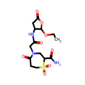 CCOC1OC(=O)CC1NC(=O)CN1CC(C(N)=O)S(=O)(=O)C[CH]C1=O